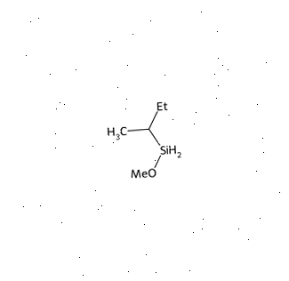 CCC(C)[SiH2]OC